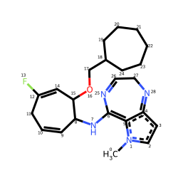 Cn1ccc2c1=C(NC1C=CCC(F)=CC1OCC1CCCCCC1)N=CCN=2